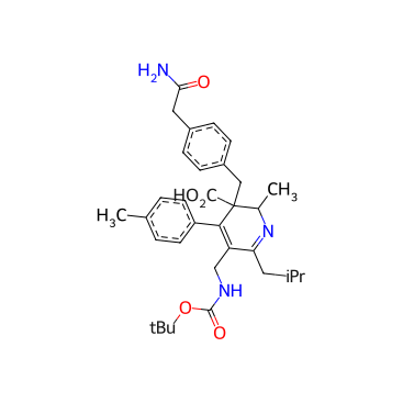 Cc1ccc(C2=C(CNC(=O)OC(C)(C)C)C(CC(C)C)=NC(C)C2(Cc2ccc(CC(N)=O)cc2)C(=O)O)cc1